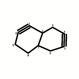 C1#CC2CC#CCC2CC1